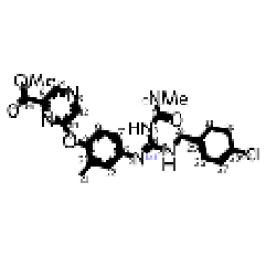 CNC(=O)N/C(=N\c1ccc(Oc2cncc(C(=O)OC)n2)c(C)c1)NCC1=CC=C(Cl)CC1